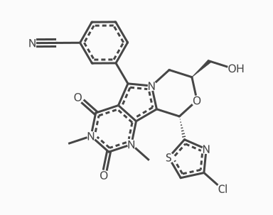 Cn1c(=O)c2c(-c3cccc(C#N)c3)n3c(c2n(C)c1=O)[C@@H](c1nc(Cl)cs1)O[C@H](CO)C3